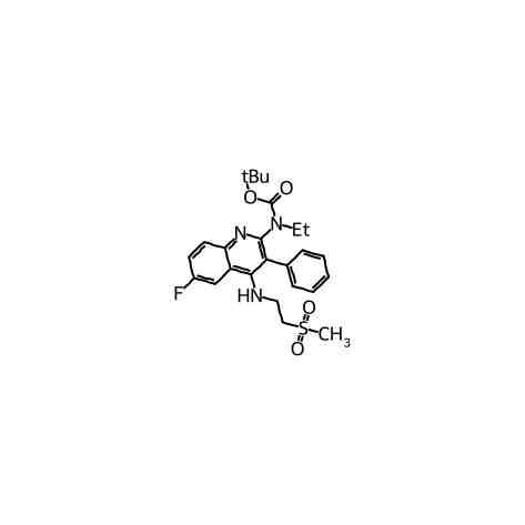 CCN(C(=O)OC(C)(C)C)c1nc2ccc(F)cc2c(NCCS(C)(=O)=O)c1-c1ccccc1